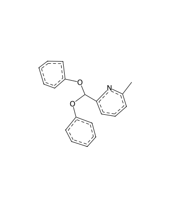 Cc1cccc(C(Oc2ccccc2)Oc2ccccc2)n1